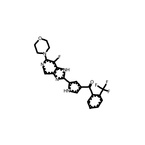 O=C(c1c[nH]c(-c2nc3cnc(N4CCOCC4)c(F)c3[nH]2)c1)c1ccccc1C(F)(F)F